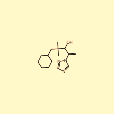 C=C(C(O)C(C)(C)CC1CCCCC1)n1cncn1